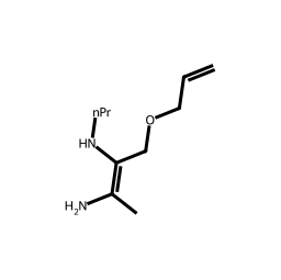 C=CCOC/C(NCCC)=C(\C)N